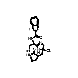 CC(C)CC(NC(=O)c1nc2ccccc2[nH]1)C1=NCC(C#N)(CC2CCNC2=O)N1